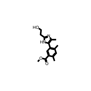 COC(=O)c1cc(-c2[nH]c(CCO)nc2C)c(C)cc1C